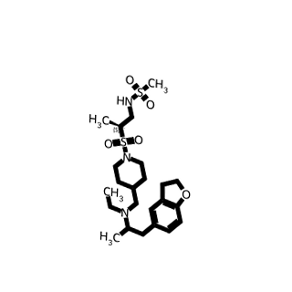 CCN(CC1CCN(S(=O)(=O)[C@@H](C)CNS(C)(=O)=O)CC1)C(C)Cc1ccc2c(c1)CCO2